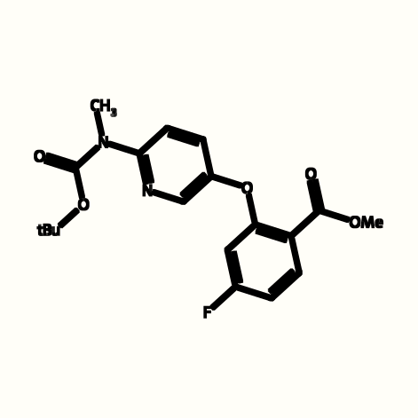 COC(=O)c1ccc(F)cc1Oc1ccc(N(C)C(=O)OC(C)(C)C)nc1